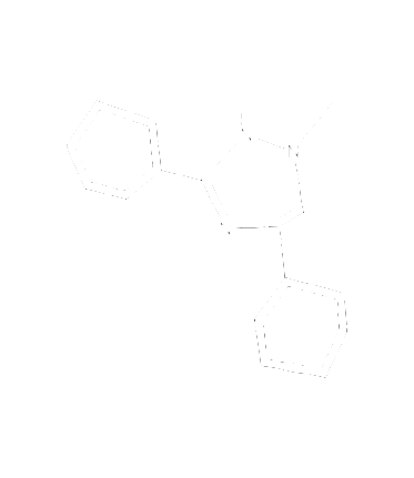 CN1C=C(c2ccccc2)N=C(c2ccccc2)N1